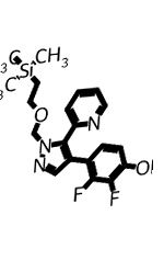 C[Si](C)(C)CCOCn1ncc(-c2ccc(O)c(F)c2F)c1-c1ccccn1